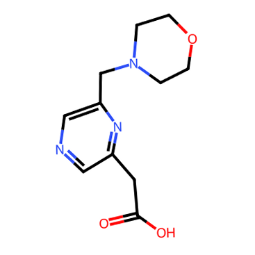 O=C(O)Cc1cncc(CN2CCOCC2)n1